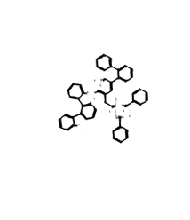 c1ccc(-c2nc(Cc3cc(-c4ccccc4-c4ccccc4)cnc3-n3c4ccccc4c4c5c(ccc43)sc3ccccc35)nc(-c3ccccc3)n2)cc1